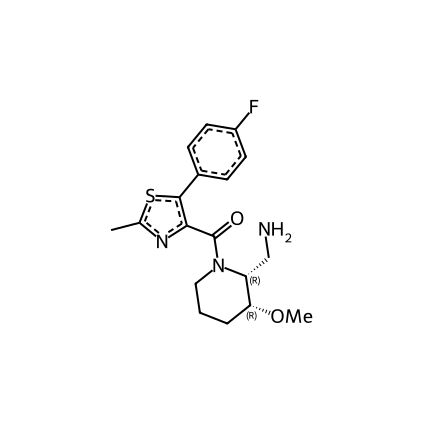 CO[C@@H]1CCCN(C(=O)c2nc(C)sc2-c2ccc(F)cc2)[C@@H]1CN